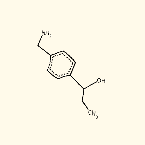 [CH2]CC(O)c1ccc(CN)cc1